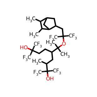 CC1C2CC(CC(OC(C)(C)C(CCC(O)(C(F)(F)F)C(F)(F)F)CC(C)C(O)(C(F)(F)F)C(F)(F)F)(C(F)(F)F)C(F)(F)F)C(C2)C1C